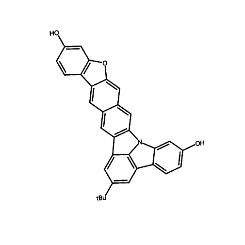 CC(C)(C)c1cc2c3ccc(O)cc3n3c4cc5cc6oc7cc(O)ccc7c6cc5cc4c(c1)c23